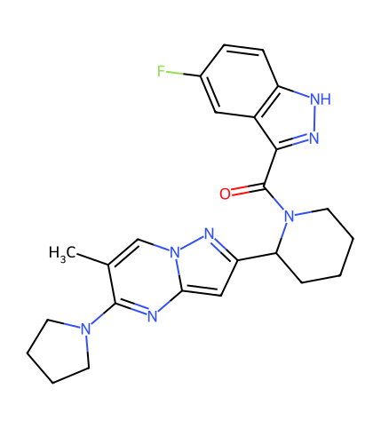 Cc1cn2nc(C3CCCCN3C(=O)c3n[nH]c4ccc(F)cc34)cc2nc1N1CCCC1